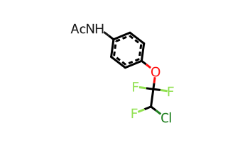 CC(=O)Nc1ccc(OC(F)(F)C(F)Cl)cc1